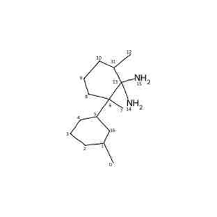 CC1CCCC(C2(C)CCCC(C)C2(N)N)C1